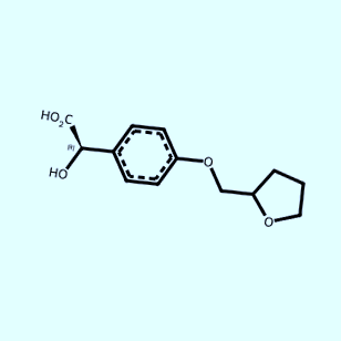 O=C(O)[C@H](O)c1ccc(OCC2CCCO2)cc1